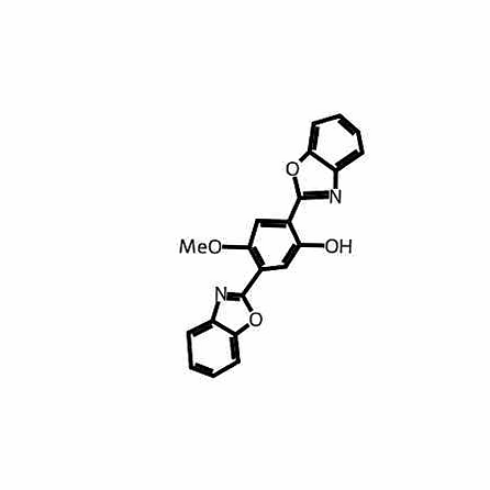 COc1cc(-c2nc3ccccc3o2)c(O)cc1-c1nc2ccccc2o1